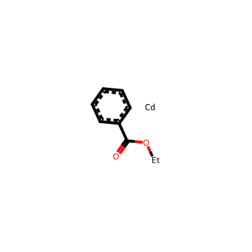 CCOC(=O)c1ccccc1.[Cd]